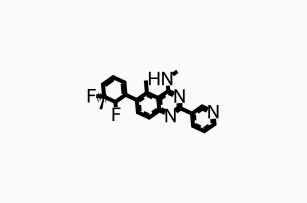 CNc1nc(-c2cccnc2)nc2ccc(C3=CC=C[C@@](C)(F)C3F)c(C)c12